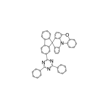 c1ccc(-c2nc(-c3ccccc3)nc(-c3ccc4c(c3)C3(c5ccccc5-4)c4ccccc4N4c5ccccc5Oc5cccc3c54)n2)cc1